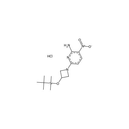 CC(C)(C)[Si](C)(C)OC1CN(c2ccc([N+](=O)[O-])c(N)n2)C1.Cl